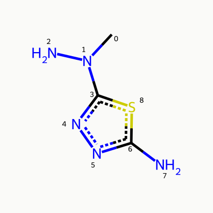 CN(N)c1nnc(N)s1